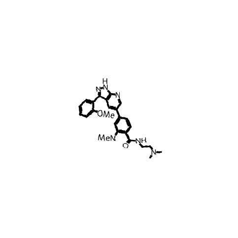 CNc1cc(-c2cnc3[nH]nc(-c4ccccc4OC)c3c2)ccc1C(=O)NCCN(C)C